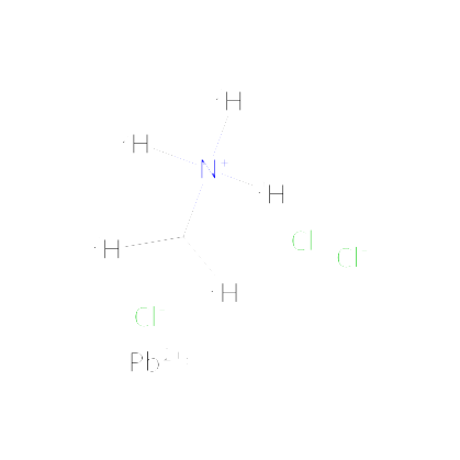 [2H]C([2H])[N+]([2H])([2H])[2H].[Cl-].[Cl-].[Cl-].[Pb+2]